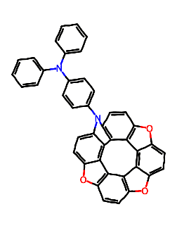 c1ccc(N(c2ccccc2)c2ccc(-n3c4ccc5oc6ccc7oc8ccc9oc%10ccc3c3c%10c9c8c7c6c5c34)cc2)cc1